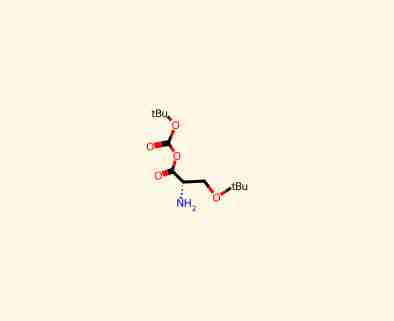 CC(C)(C)OC[C@H](N)C(=O)OC(=O)OC(C)(C)C